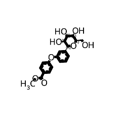 COC(=O)c1ccc(Oc2cccc([C@H]3O[C@H](CO)[C@@H](O)[C@H](O)[C@@H]3O)c2)cc1